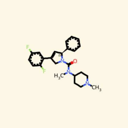 CN1CCC(N(C)C(=O)N2CC(c3cc(F)ccc3F)=C[C@H]2c2ccccc2)CC1